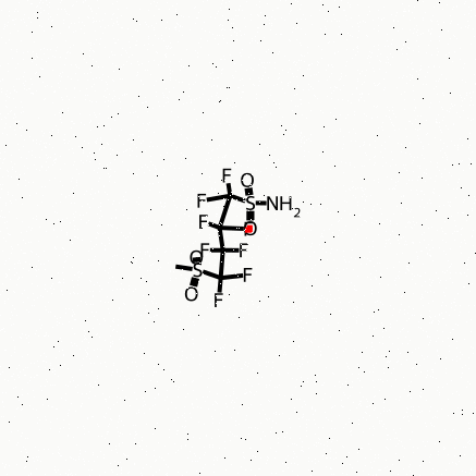 CS(=O)(=O)C(F)(F)C(F)(F)C(F)(F)C(F)(F)S(N)(=O)=O